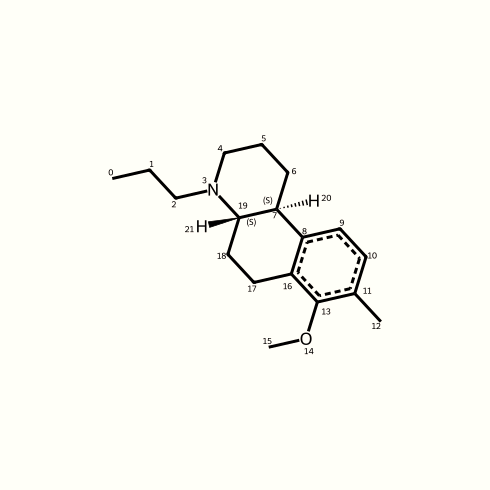 CCCN1CCC[C@H]2c3ccc(C)c(OC)c3CC[C@@H]21